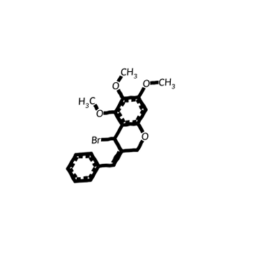 COc1cc2c(c(OC)c1OC)C(Br)C(=Cc1ccccc1)CO2